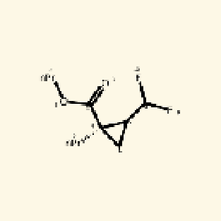 CCCOC(=O)[C@]1(CCC)CC1C(F)F